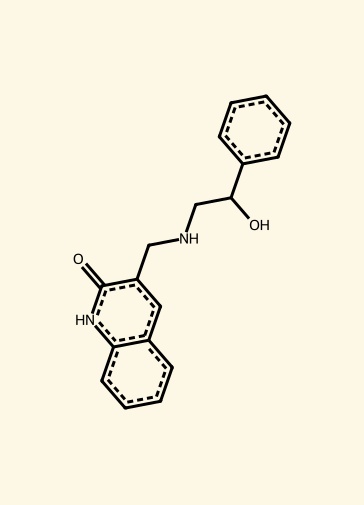 O=c1[nH]c2ccccc2cc1CNCC(O)c1ccccc1